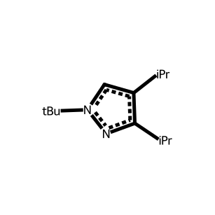 CC(C)c1cn(C(C)(C)C)nc1C(C)C